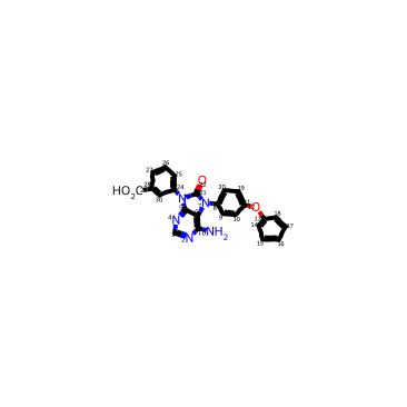 Nc1ncnc2c1n(-c1ccc(Oc3ccccc3)cc1)c(=O)n2-c1cccc(C(=O)O)c1